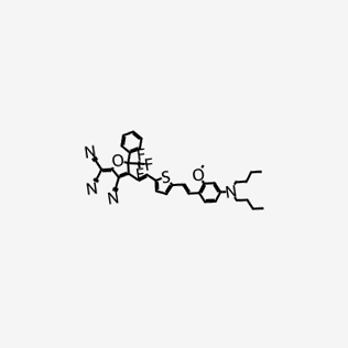 CCCCN(CCCC)c1ccc(/C=C/c2ccc(/C=C/C3=C(C#N)C(=C(C#N)C#N)OC3(c3ccccc3)C(F)(F)F)s2)c(OC)c1